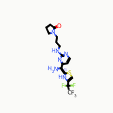 N/C(=C1\NC(C(F)(F)C(F)(F)F)=CS1)c1ccnc(NCCCN2CCCC2=O)n1